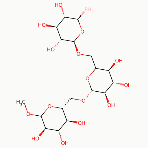 B[C@H]1O[C@@H](OCC2O[C@@H](OC[C@H]3OC(OC)[C@H](O)[C@@H](O)[C@@H]3O)[C@H](O)[C@@H](O)[C@@H]2O)[C@H](O)[C@@H](O)[C@@H]1O